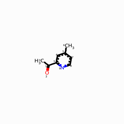 CC(=O)c1cc(C)[c]cn1